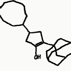 OC1=C(C23CC4CC(CC(C4)C2)C3)CC(C2CCCCCCC2)C1